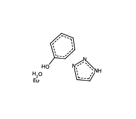 O.Oc1ccccc1.[Eu].c1c[nH]nn1